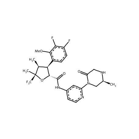 COc1c([C@H]2[C@H](C(=O)Nc3ccnc(N4C[C@H](C)NCC4=O)c3)O[C@@](C)(C(F)(F)F)[C@H]2C)ccc(F)c1F